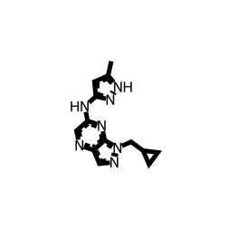 Cc1cc(Nc2cnc3cnn(CC4CC4)c3n2)n[nH]1